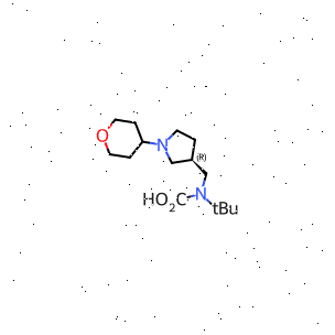 CC(C)(C)N(C[C@@H]1CCN(C2CCOCC2)C1)C(=O)O